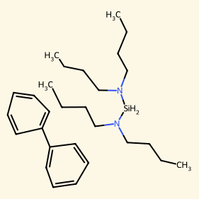 CCCCN(CCCC)[SiH2]N(CCCC)CCCC.c1ccc(-c2ccccc2)cc1